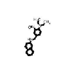 CCN(CC)c1ccc(CNc2ccc3ccccc3c2)cc1N=O